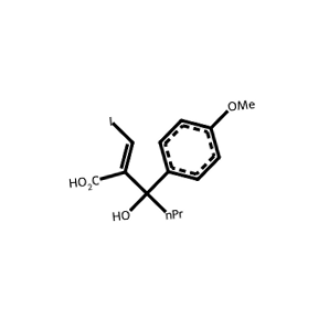 CCCC(O)(C(=CI)C(=O)O)c1ccc(OC)cc1